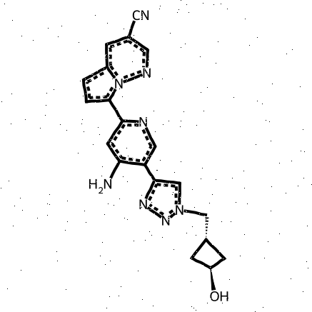 N#Cc1cnn2c(-c3cc(N)c(-c4cn(C[C@H]5C[C@H](O)C5)nn4)cn3)ccc2c1